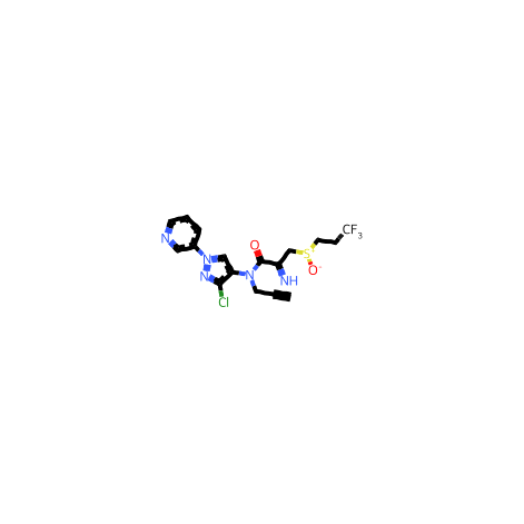 C#CCN(C(=O)C(=N)C[S+]([O-])CCC(F)(F)F)c1cn(-c2cccnc2)nc1Cl